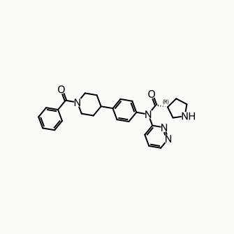 O=C(c1ccccc1)N1CCC(c2ccc(N(C(=O)[C@@H]3CCNC3)c3cccnn3)cc2)CC1